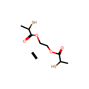 C=C.CC(S)C(=O)OCCOC(=O)C(C)S